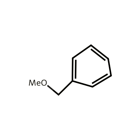 [1CH3]OCc1ccccc1